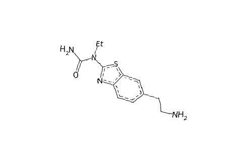 CCN(C(N)=O)c1nc2ccc(CCN)cc2s1